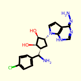 N/N=c1/nc[nH]c2c1ccn2[C@@H]1C[C@H](C(N)c2ccc(Cl)cc2)[C@@H](O)[C@H]1O